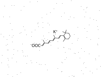 CC1=C(/C=C/C(C)=C/C=C/C(C)=C/C(=O)[O-])C(C)(C)CCC1.[K+]